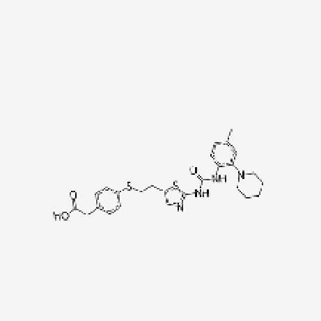 Cc1ccc(NC(=O)Nc2ncc(CCSc3ccc(CC(=O)O)cc3)s2)c(N2CCCCC2)c1